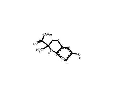 COC(=O)C1(C)CCc2cc(Br)ccc2O1